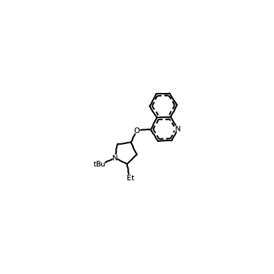 CCC1CC(Oc2ccnc3ccccc23)CN1C(C)(C)C